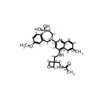 COc1ccc2c(c1)CN(c1cc(NCC3(CNC(C)=O)COC3)c3cc(C)ccc3n1)CCS2(O)O